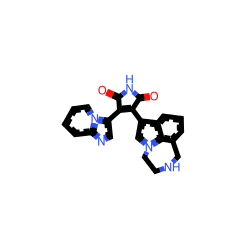 O=C1NC(=O)C(c2cnc3ccccn23)=C1c1cn2c3c(cccc13)CNCC2